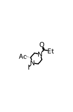 CCC(=O)N1CCN(I)[C@H](C(C)=O)C1